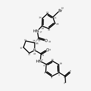 C=C(C)c1ccc(NC(=O)N2CCC[C@@H]2C(=O)Nc2ccc(Br)cc2)cc1